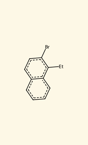 CCc1c(Br)ccc2ccccc12